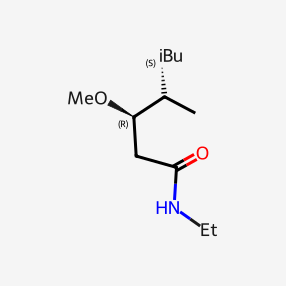 CCNC(=O)C[C@@H](OC)C(C)[C@@H](C)CC